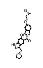 CCN(C)CCOc1ccc2c(c1)CN(C(=O)c1cc3c(CN4CCCC4)n[nH]c3cc1O)C2